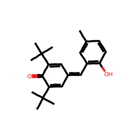 Cc1ccc(O)c(C=C2C=C(C(C)(C)C)C(=O)C(C(C)(C)C)=C2)c1